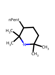 CCCCCC1CCC(C)(C)[N]C1(C)C